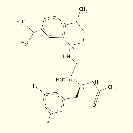 CC(=O)N[C@@H](Cc1cc(F)cc(F)c1)[C@H](O)CN[C@H]1CCN(C)c2ccc(C(C)C)cc21